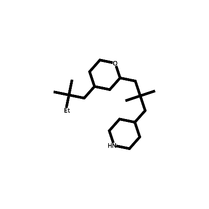 CCC(C)(C)CC1CCOC(CC(C)(C)CC2CCNCC2)C1